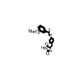 COc1cccc([C@@H](F)COc2ccc(CC3SC(=O)NC3=O)cc2)c1